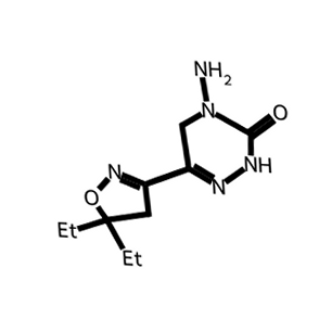 CCC1(CC)CC(C2=NNC(=O)N(N)C2)=NO1